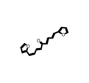 O=C(/C=C/C=C\c1ccco1)/C=C/C=C/c1ccco1